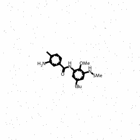 COc1c(NSC)cc(C(C)(C)C)cc1NC(=O)c1ccc(C)c(N)c1